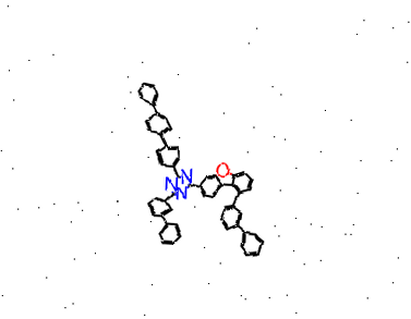 c1ccc(-c2ccc(-c3ccc(-c4nc(-c5cccc(-c6ccccc6)c5)nc(-c5ccc6c(c5)oc5cccc(-c7cccc(-c8ccccc8)c7)c56)n4)cc3)cc2)cc1